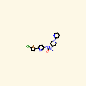 CN(C(=O)Nc1ccc(-c2ccc(Cl)s2)nc1)C1CCN(c2ccccn2)CC1